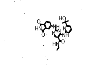 CCNC(=O)c1cnc(Nc2ccc3c(c2)C(=O)NC3=O)nc1Nc1cccc(C(C)(C)O)n1